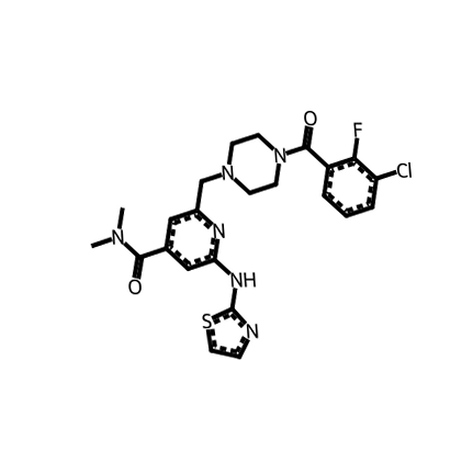 CN(C)C(=O)c1cc(CN2CCN(C(=O)c3cccc(Cl)c3F)CC2)nc(Nc2nccs2)c1